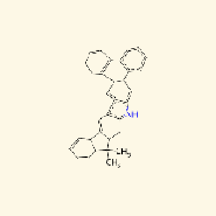 CC1(C)C2Cc3[nH]c4c(c3C=C2C2C=CC=CC21)=CC1C2=C(C=CCC2)c2ccccc2C1C=4